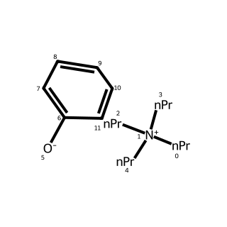 CCC[N+](CCC)(CCC)CCC.[O-]c1ccccc1